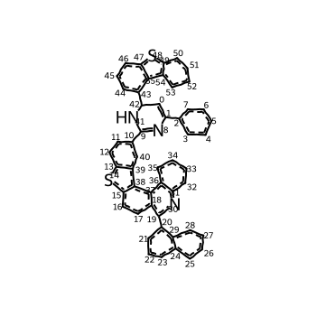 C1=C(c2ccccc2)N=C(c2ccc3sc4ccc5c(-c6cccc7ccccc67)nc6ccccc6c5c4c3c2)NC1c1cccc2sc3ccccc3c12